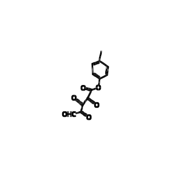 Cc1ccc(OC(=O)C(=O)C(=O)C(=O)C=O)cc1